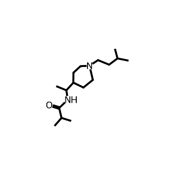 CC(C)CCN1CCC(C(C)NC(=O)C(C)C)CC1